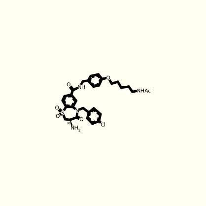 CC(=O)NCCCCCOc1ccc(CNC(=O)c2ccc3c(c2)N(Cc2ccc(Cl)cc2)C(=O)[C@@H](N)CS3(=O)=O)cc1